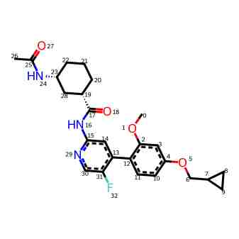 COc1cc(OCC2CC2)ccc1-c1cc(NC(=O)[C@H]2CCC[C@@H](NC(C)=O)C2)ncc1F